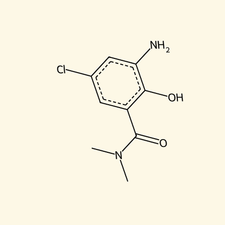 CN(C)C(=O)c1cc(Cl)cc(N)c1O